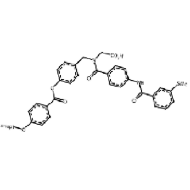 CCCCCCCOc1ccc(C(=O)Oc2ccc(CN(CC(=O)O)C(=O)c3ccc(NC(=O)c4cccc(SC)c4)cc3)cc2)cc1